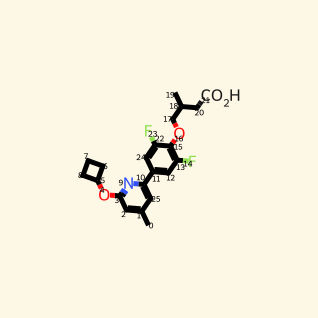 Cc1cc(OC2CCC2)nc(-c2cc(F)c(OCC(C)CC(=O)O)c(F)c2)c1